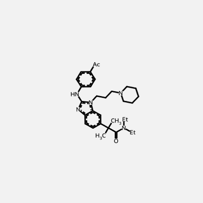 CCN(CC)C(=O)C(C)(C)c1ccc2nc(Nc3ccc(C(C)=O)cc3)n(CCCN3CCCCC3)c2c1